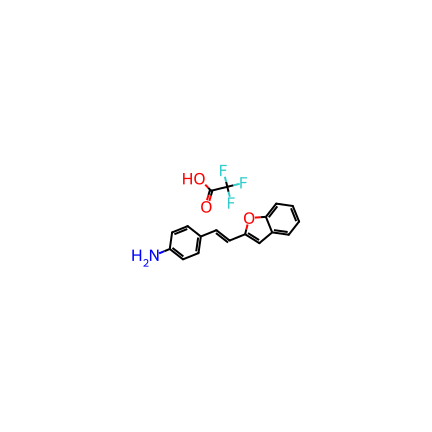 Nc1ccc(C=Cc2cc3ccccc3o2)cc1.O=C(O)C(F)(F)F